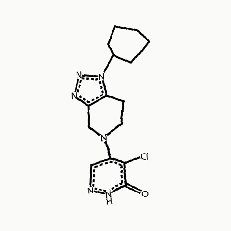 O=c1[nH]ncc(N2CCc3c(nnn3C3CCCCC3)C2)c1Cl